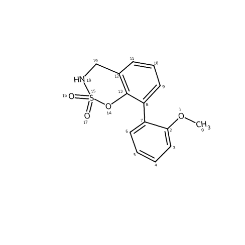 COc1ccccc1-c1cccc2c1OS(=O)(=O)NC2